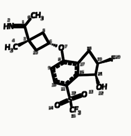 CC(=N)[C@]1(C)C[C@H](Oc2ccc(S(=O)(=O)C(F)(F)F)c3c2C[C@@H](F)[C@H]3O)C1